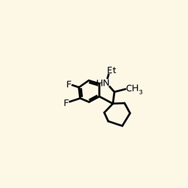 CCNC(C)C1(c2ccc(F)c(F)c2)CCCCC1